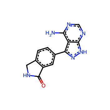 Nc1ncnc2[nH]nc(-c3ccc4c(c3)C(=O)NC4)c12